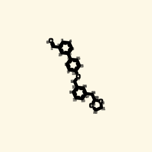 O=Cc1cccc(-c2ccc(OCc3cccc(CC4OCCO4)c3)cc2)c1